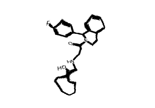 O=C(CNCC1(O)CCCCC1)N1CCc2ccccc2C1c1ccc(F)cc1